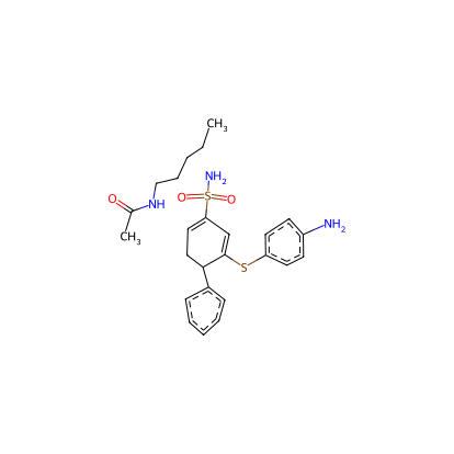 CCCCCNC(C)=O.Nc1ccc(SC2=CC(S(N)(=O)=O)=CCC2c2ccccc2)cc1